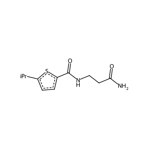 CC(C)c1ccc(C(=O)NCCC(N)=O)s1